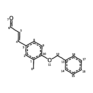 Cc1cc(/C=C/C=O)ccc1OCc1ccccc1